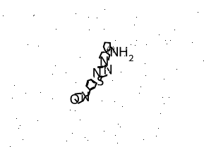 N[C@@H]1CCCC12CCN(c1cnc(Sc3cccc(CN4CCOCC4)c3)cn1)CC2